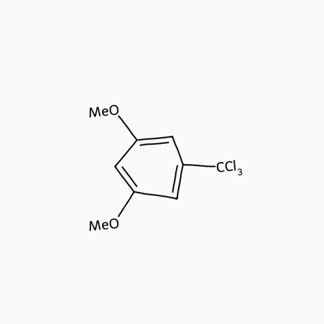 COc1cc(OC)cc(C(Cl)(Cl)Cl)c1